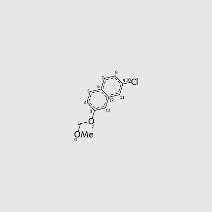 COCOc1ccc2ccc(Cl)cc2c1